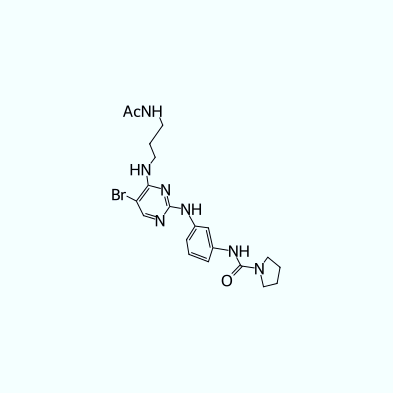 CC(=O)NCCCNc1nc(Nc2cccc(NC(=O)N3CCCC3)c2)ncc1Br